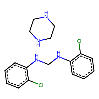 C1CNCCN1.Clc1ccccc1NCNc1ccccc1Cl